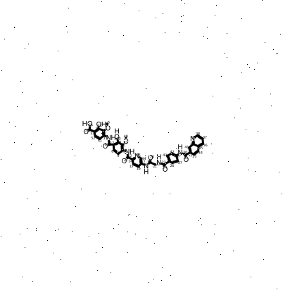 COc1c(NC(=O)c2ccc(NC(=O)c3ccc(NC(=O)CNC(=O)c4ccc(NC(=O)c5ccc6cccnc6c5)cc4)cn3)c(OC)c2O)ccc(C(=O)O)c1O